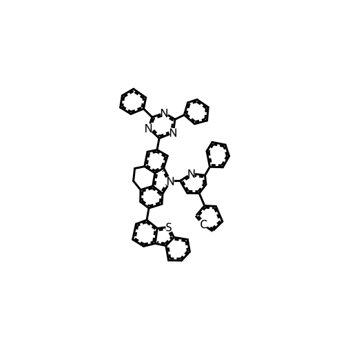 c1ccc(-c2cc(-c3ccccc3)nc(-n3c4cc(-c5nc(-c6ccccc6)nc(-c6ccccc6)n5)cc5c4c4c(cc(-c6cccc7c6sc6ccccc67)cc43)CC5)c2)cc1